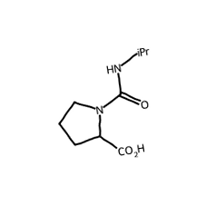 CC(C)NC(=O)N1CCCC1C(=O)O